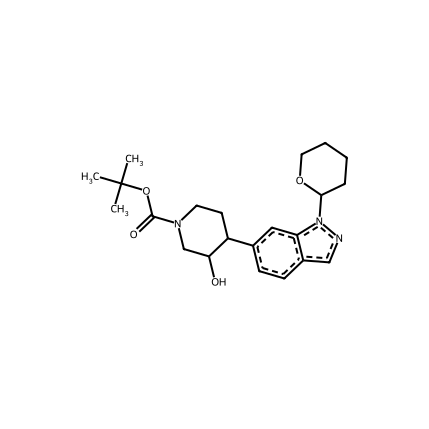 CC(C)(C)OC(=O)N1CCC(c2ccc3cnn(C4CCCCO4)c3c2)C(O)C1